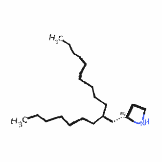 CCCCCCCCC(CCCCCCC)C[C@@H]1CCN1